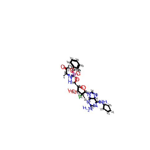 COC(=O)[C@H](C)N[P@@](=O)(OC[C@H]1O[C@@H](N2C=NC3C(NC4CCCC4)=NC(N)=NC32)[C@](C)(F)[C@@H]1O)Oc1ccccc1